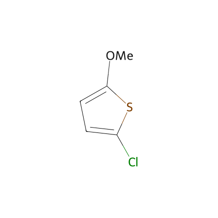 COc1ccc(Cl)s1